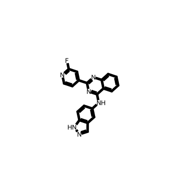 Fc1cc(-c2nc(Nc3ccc4[nH]ncc4c3)c3ccccc3n2)ccn1